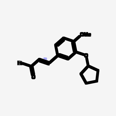 CCC(=O)/C=C/c1ccc(OC)c(OC2CCCC2)c1